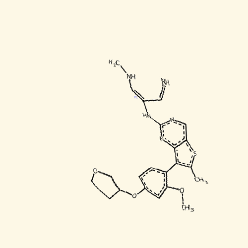 CN/C=C(\C=N)Nc1ncc2sc(C)c(-c3ccc(OC4CCOC4)cc3OC)c2n1